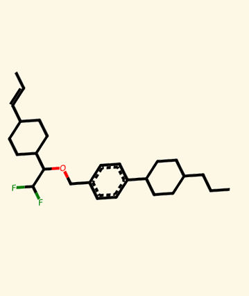 C/C=C/C1CCC(C(OCc2ccc(C3CCC(CCC)CC3)cc2)C(F)F)CC1